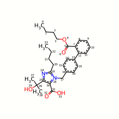 CCCCOC(=O)c1ccccc1-c1ccc(Cn2c(CCCC)nc(C(C)(C)O)c2C(=O)O)cc1